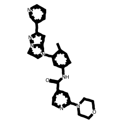 Cc1ccc(NC(=O)c2ccnc(N3CCOCC3)c2)cc1-n1ccn2nc(-c3cccnc3)cc12